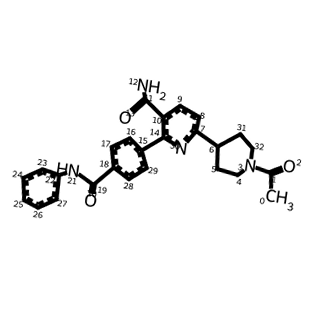 CC(=O)N1CCC(c2ccc(C(N)=O)c(-c3ccc(C(=O)Nc4ccccc4)cc3)n2)CC1